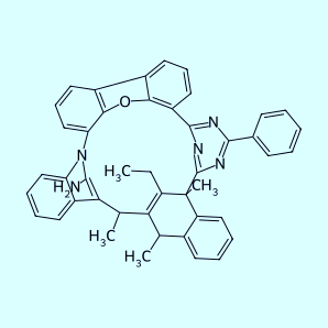 CCC1=C2C(C)c3ccccc3C1(C)c1nc(-c3ccccc3)nc(n1)-c1cccc3c1oc1c(cccc13)-n1c(N)c(c3ccccc31)C2C